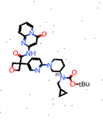 CC(C)(C)OC(=O)N(CC1CC1)[C@@H]1CCCN(c2ccc(C3(C(=O)Nc4cc(=O)n5ccccc5n4)COC3)cn2)C1